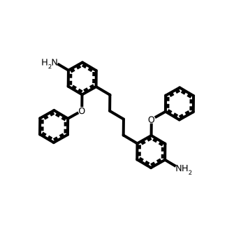 Nc1ccc(CCCCc2ccc(N)cc2Oc2ccccc2)c(Oc2ccccc2)c1